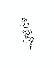 Cc1c(-n2ncc(C(=O)Nc3cnc(-n4nccn4)c(Cl)c3)c2C(F)(F)F)ccnc1N1CC(O)C1